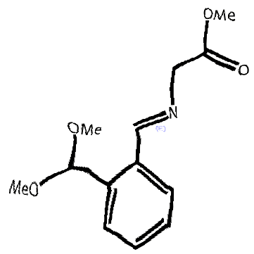 COC(=O)C/N=C/c1ccccc1C(OC)OC